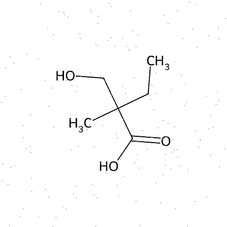 CCC(C)(CO)C(=O)O